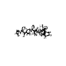 Cc1c(C(=O)N2CCC3(CC2)CC3C(=O)N2CCC2)cnn1-c1nc2c(c(=O)[nH]1)CCC2